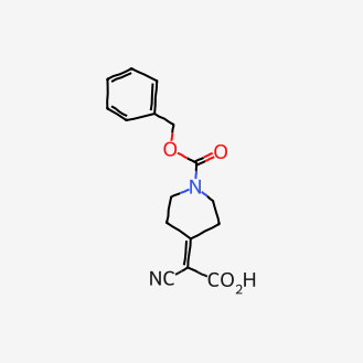 N#CC(C(=O)O)=C1CCN(C(=O)OCc2ccccc2)CC1